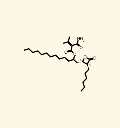 CCCCCCCCCCCC(C[C@@H]1OC(=O)[C@H]1CCCCCC)OC(=O)C(C(N)=O)=C(C)C